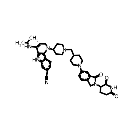 CC(C)NC1=CCN(C2CCN(CC3CCN(c4ccc5c(c4)C(=O)N(C4CCC(=O)NC4=O)C5)CC3)CC2)c2c1[nH]c1cc(C#N)ccc21